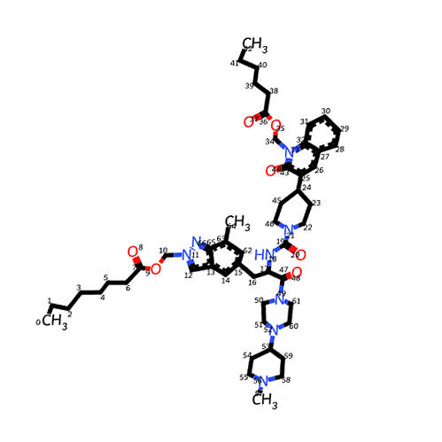 CCCCCCCC(=O)OCn1cc2cc(CC(NC(=O)N3CCC(c4cc5ccccc5n(COC(=O)CCCCC)c4=O)CC3)C(=O)N3CCN(C4CCN(C)CC4)CC3)cc(C)c2n1